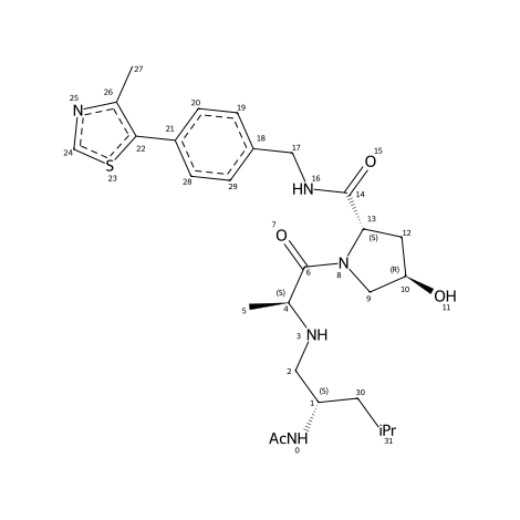 CC(=O)N[C@H](CN[C@@H](C)C(=O)N1C[C@H](O)C[C@H]1C(=O)NCc1ccc(-c2scnc2C)cc1)CC(C)C